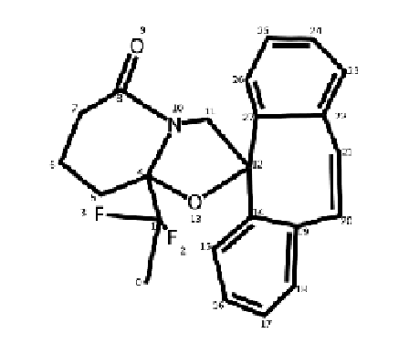 CC(F)(F)C12CCCC(=O)N1CC1(O2)c2ccccc2C=Cc2ccccc21